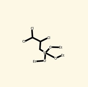 CCO[Si](CC(Cl)C(Cl)Cl)(OCC)OCC